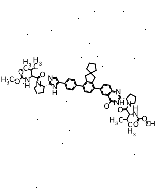 COC(=O)N[C@H](C(=O)N1CCC[C@H]1c1ncc(-c2ccc(-c3ccc(-c4ccc5nc([C@@H]6CCCN6C(=O)[C@@H](NC(=O)OC)C(C)C)[nH]c(=O)c5c4)c4c3CC3(CCCC3)C4)cc2)[nH]1)C(C)C